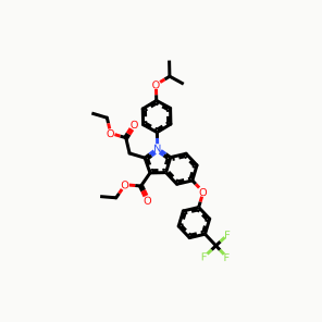 CCOC(=O)Cc1c(C(=O)OCC)c2cc(Oc3cccc(C(F)(F)F)c3)ccc2n1-c1ccc(OC(C)C)cc1